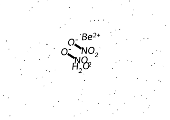 O.O=[N+]([O-])[O-].O=[N+]([O-])[O-].[Be+2]